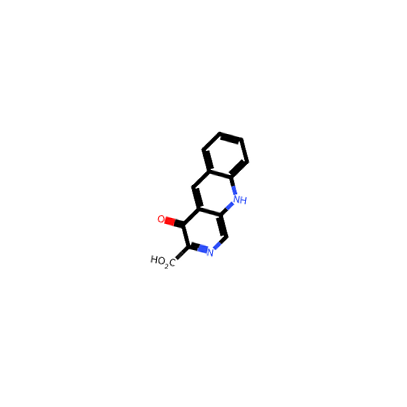 O=C(O)c1ncc2[nH]c3ccccc3cc-2c1=O